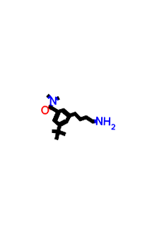 CN(C)C(=O)c1cc(CCCCN)cc(C(C)(C)C)c1